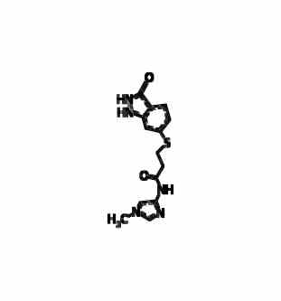 Cn1cnc(NC(=O)CCSc2ccc3c(=O)[nH][nH]c3c2)c1